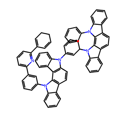 C1=CC(c2cccc(-c3cccc(-n4c5ccccc5c5ccc6c(c7ccccc7n6C6=CC(n7c8ccccc8c8ccc9c%10ccccc%10n(-c%10ccccc%10)c9c87)CC=C6)c54)c3)n2)=CCC1